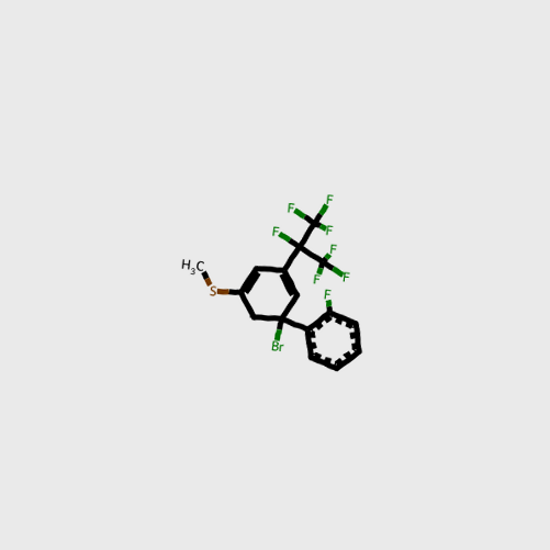 CSC1=CC(C(F)(C(F)(F)F)C(F)(F)F)=CC(Br)(c2ccccc2F)[CH]1